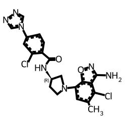 Cc1cc(N2CC[C@@H](NC(=O)c3ccc(-n4cnnc4)cc3Cl)C2)c2onc(N)c2c1Cl